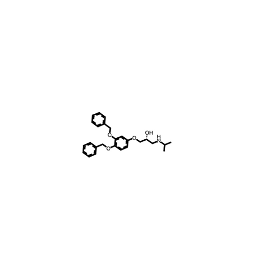 CC(C)NC[C@@H](O)COc1ccc(OCc2ccccc2)c(OCc2ccccc2)c1